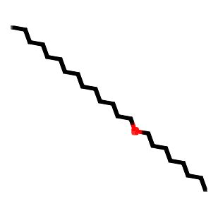 CCCCCCCCCCCCCCOCCCCCCCC